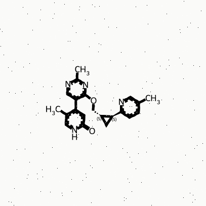 Cc1ccc([C@H]2C[C@@H]2COc2nc(C)ncc2-c2cc(=O)[nH]cc2C)nc1